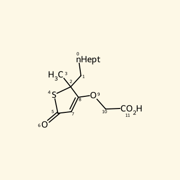 CCCCCCCCC1(C)SC(=O)C=C1OCC(=O)O